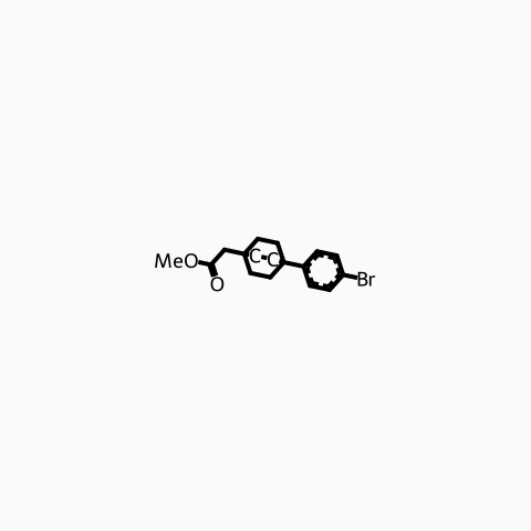 COC(=O)CC12CCC(c3ccc(Br)cc3)(CC1)CC2